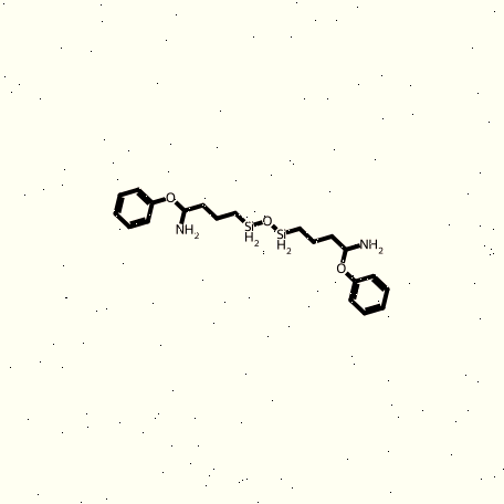 NC(CCC[SiH2]O[SiH2]CCCC(N)Oc1ccccc1)Oc1ccccc1